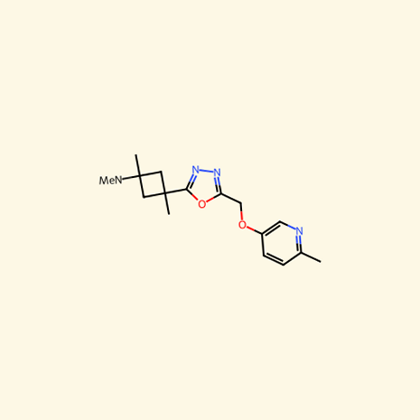 CNC1(C)CC(C)(c2nnc(COc3ccc(C)nc3)o2)C1